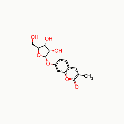 Cc1cc2ccc(O[C@H]3O[C@@H](CO)[C@H](O)[C@H]3O)cc2oc1=O